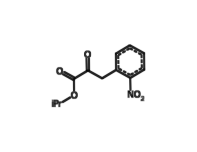 CC(C)OC(=O)C(=O)Cc1ccccc1[N+](=O)[O-]